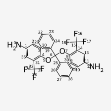 Nc1ccc(OC(Oc2ccc(N)cc2C(F)(F)F)(c2ccccc2)c2ccccc2)c(C(F)(F)F)c1